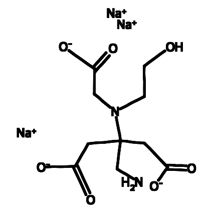 NCC(CC(=O)[O-])(CC(=O)[O-])N(CCO)CC(=O)[O-].[Na+].[Na+].[Na+]